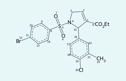 CCOC(=O)C1=CCN(S(=O)(=O)c2ccc(Br)cc2)C1c1ccc(Cl)c(C)c1